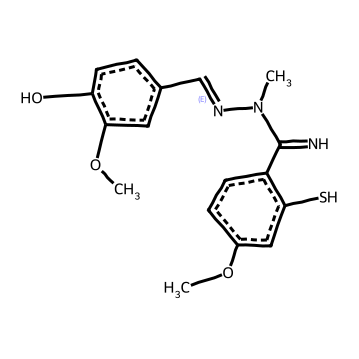 COc1ccc(C(=N)N(C)/N=C/c2ccc(O)c(OC)c2)c(S)c1